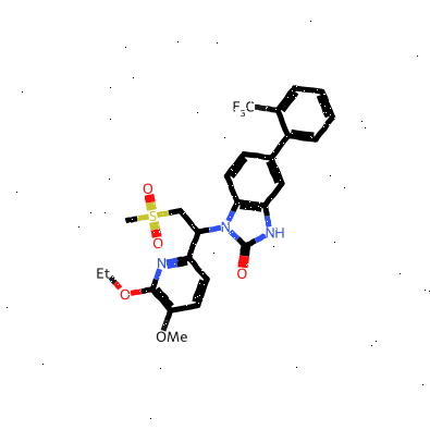 CCOc1nc(C(CS(C)(=O)=O)n2c(=O)[nH]c3cc(-c4ccccc4C(F)(F)F)ccc32)ccc1OC